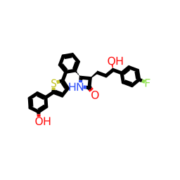 O=C1N[C@H](c2ccccc2-c2ccc(-c3cccc(O)c3)s2)[C@H]1CC[C@H](O)c1ccc(F)cc1